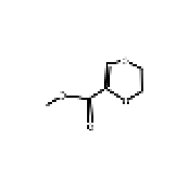 COC(=O)C1=COCCO1